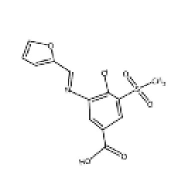 CS(=O)(=O)c1cc(C(=O)O)cc(N=Cc2ccco2)c1Cl